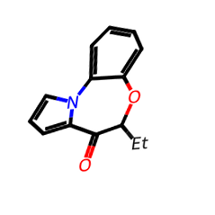 CCC1Oc2ccccc2-n2cccc2C1=O